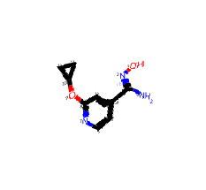 N/C(=N\O)c1ccnc(OC2CC2)c1